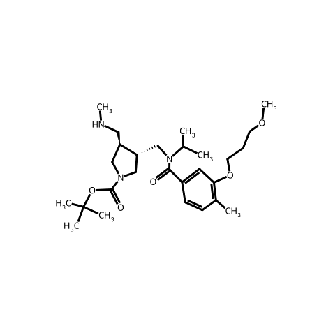 CNC[C@@H]1CN(C(=O)OC(C)(C)C)C[C@H]1CN(C(=O)c1ccc(C)c(OCCCOC)c1)C(C)C